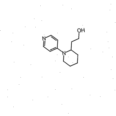 OCCC1CCCCN1c1ccncc1